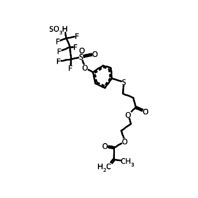 C=C(C)C(=O)OCCOC(=O)CCSc1ccc(OS(=O)(=O)C(F)(F)C(F)(F)C(F)(F)S(=O)(=O)O)cc1